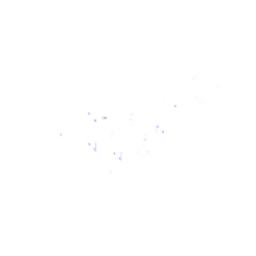 Cc1nc(NC2(C)CC2)c2c(C(=O)N3CCCC4(C3)OCc3ccccc34)coc2n1